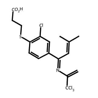 C=C(/N=C(\C=C(C)C)c1ccc(SCCC(=O)O)c(Cl)c1)C(Cl)(Cl)Cl